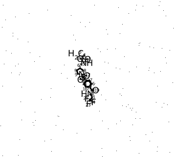 C=CS(=O)(=O)NC[C@H]1CCN(S(=O)(=O)c2ccc(C(=O)NCC(F)(F)F)cc2)C1